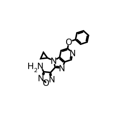 Nc1nonc1-c1nc2cnc(Oc3ccccc3)cc2n1C1CC1